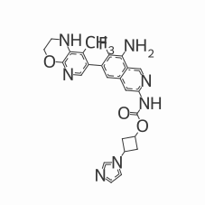 Cc1c(-c2cc3cc(NC(=O)OC4CC(n5ccnc5)C4)ncc3c(N)c2F)cnc2c1NCCO2